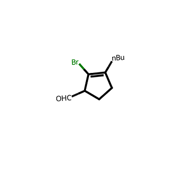 CCCCC1=C(Br)C(C=O)CC1